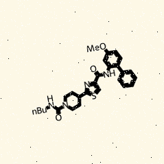 CCCCNC(=O)N1CCC(c2nc(C(=O)Nc3cc(OC)ccc3-c3ccccc3)cs2)CC1